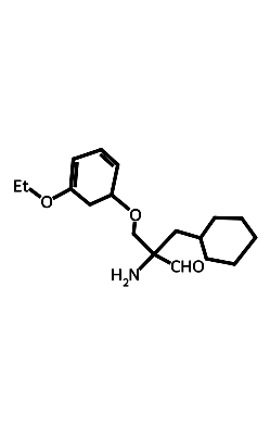 CCOC1=CC=CC(OCC(N)(C=O)CC2CCCCC2)C1